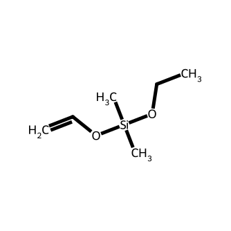 C=CO[Si](C)(C)OCC